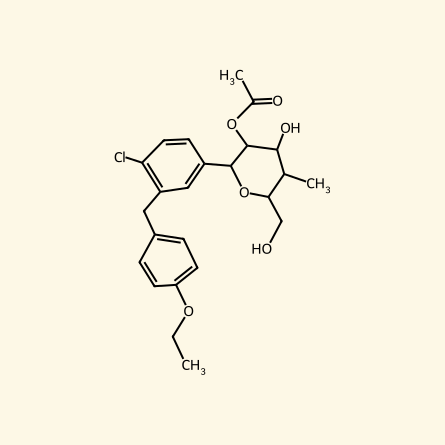 CCOc1ccc(Cc2cc(C3OC(CO)C(C)C(O)C3OC(C)=O)ccc2Cl)cc1